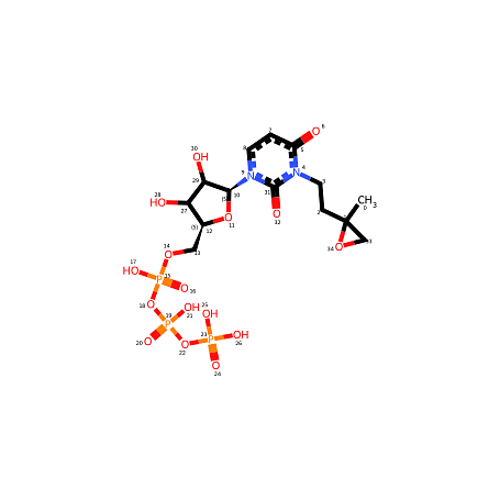 CC1(CCn2c(=O)ccn([C@H]3O[C@@H](COP(=O)(O)OP(=O)(O)OP(=O)(O)O)C(O)C3O)c2=O)CO1